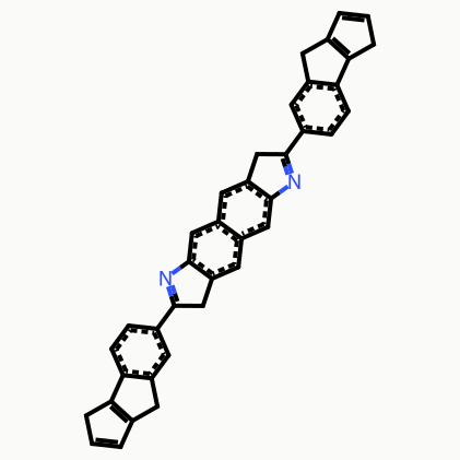 C1=CC2=C(C1)c1ccc(C3=Nc4cc5cc6c(cc5cc4C3)N=C(c3ccc4c(c3)CC3=C4CC=C3)C6)cc1C2